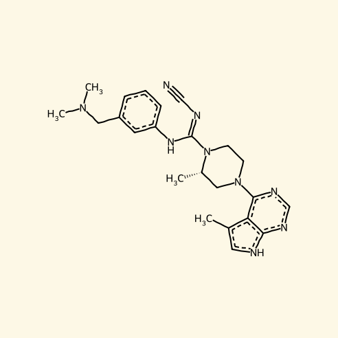 Cc1c[nH]c2ncnc(N3CCN(/C(=N/C#N)Nc4cccc(CN(C)C)c4)[C@@H](C)C3)c12